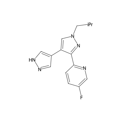 CC(C)Cn1cc(-c2cn[nH]c2)c(-c2ccc(F)cn2)n1